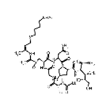 C=C(N/C(C)=C\CSCCCCNC(C)=O)[S+]([O-])C[C@H](NC(=O)CNC(=O)[C@@H](NC(=O)CC)[C@@H](C)CC)C(=O)N[C@@H](CC(N)=O)C(=O)N1C[C@H](O)C[C@H]1C(=O)N[C@H](C(N)=O)[C@@H](C)[C@@H](O)CO